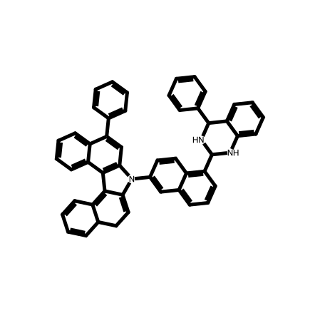 C1=CC2=c3c(n(-c4ccc5c(C6Nc7ccccc7C(c7ccccc7)N6)cccc5c4)c4cc(-c5ccccc5)c5ccccc5c34)=CCC2C=C1